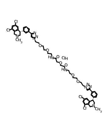 CN1Cc2c(Cl)cc(Cl)cc2[C@H](c2cccc(-c3cn(CCOCCOCCNC(=O)COCC(=O)NCCOCCOCCn4cc(-c5cccc([C@@H]6CN(C)Cc7c(Cl)cc(Cl)cc76)c5)nn4)nn3)c2)C1.Cl